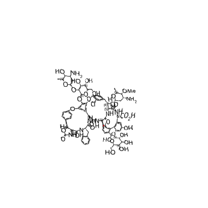 COC1C(N)CC(O[C@@H]2c3ccc(c(Cl)c3)Oc3cc4cc(c3O[C@@H]3OC(CO)[C@@H](O)C(O)C3OC3CC(N)C(O)[C@H](C)O3)Oc3ccc(cc3)[C@H]3OC(=O)N[C@H]3C(=O)NC(Cc3ccccc3)C(=O)N[C@@H]4C(=O)N[C@@H]3C(=O)N[C@@H]2C(=O)N[C@H](C(=O)O)c2cc(O)cc(O[C@@H]4OC(CO)[C@@H](O)C(O)C4O)c2-c2cc3ccc2CO)O[C@H]1C